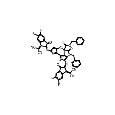 N#CC(C#N)=C1/C(=N/c2cc3c(s2)-c2sc(/N=C4\C(=O)c5cc(F)c(F)cc5C4=C(C#N)C#N)cc2C(C(=O)OCc2ccccc2)(C(=O)OCc2ccccc2)O3)C(=O)c2cc(F)c(F)cc21